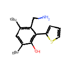 CC(C)(C)c1cc(C(C)(C)C)c(CN)c(-c2cccs2)c1O